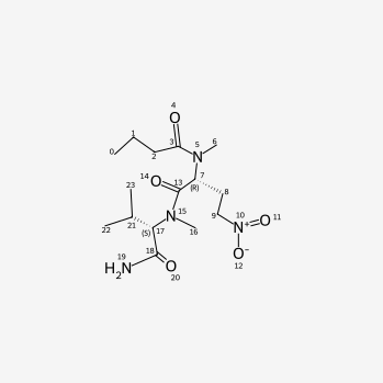 CCCC(=O)N(C)[C@H](CC[N+](=O)[O-])C(=O)N(C)[C@H](C(N)=O)C(C)C